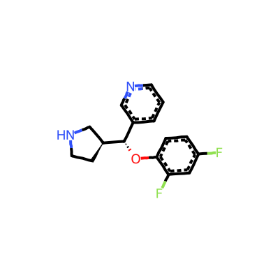 Fc1ccc(O[C@@H](c2cccnc2)[C@H]2CCNC2)c(F)c1